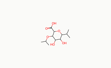 CC(C)OC1C(C(=O)O)OC(C(C)C)C(O)C1O